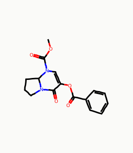 COC(=O)N1C=C(OC(=O)c2ccccc2)C(=O)N2CCCC12